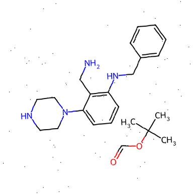 CC(C)(C)OC=O.NCc1c(NCc2ccccc2)cccc1N1CCNCC1